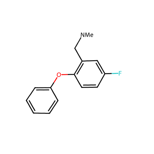 CNCc1cc(F)ccc1Oc1ccccc1